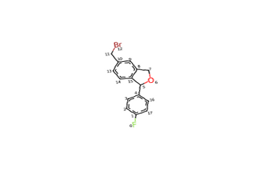 Fc1ccc(C2OCc3cc(CBr)ccc32)cc1